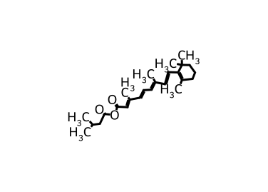 CC1=C(/C=C/C(C)=C/C=C/C(C)=C/C(=O)OC(=O)CC(C)C)C(C)(C)CCC1